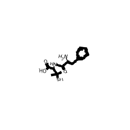 CC(C)(S)[C@@H](NC(=O)[C@H](N)Cc1ccccc1)C(=O)O